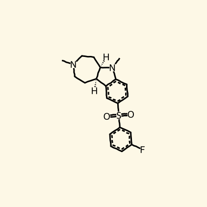 CN1CC[C@@H]2c3cc(S(=O)(=O)c4cccc(F)c4)ccc3N(C)[C@@H]2CC1